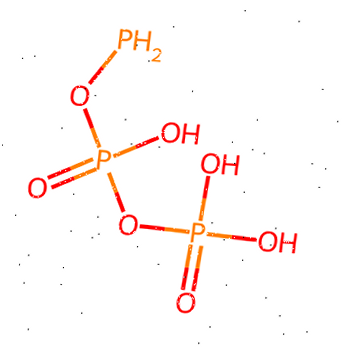 O=P(O)(O)OP(=O)(O)OP